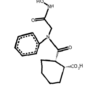 O=C(CN(C(=O)[C@H]1CCCC[C@H]1C(=O)O)c1ccccc1)NO